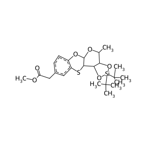 COC(=O)Cc1ccc2c(c1)SC1C(O2)OC(C)C2O[Si](C(C)(C)C)(C(C)(C)C)OC21